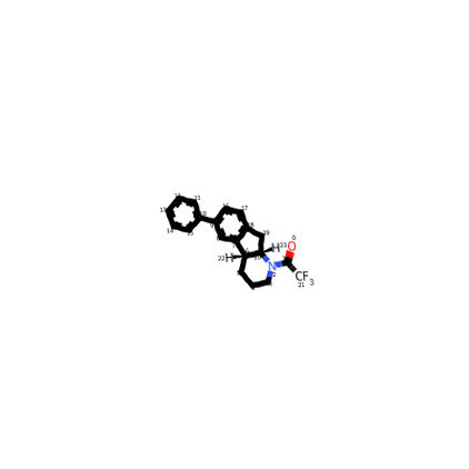 O=C(N1CCC[C@@H]2c3cc(-c4ccccc4)ccc3C[C@@H]21)C(F)(F)F